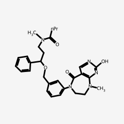 CCCC(=O)N(C)CCC(OCc1cccc(N2CCN(C)c3nc(O)ncc3C2=O)c1)c1ccccc1